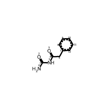 NC(=O)NC(=O)Cc1ccccc1